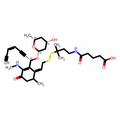 C#C/C=C\C#C[C@H](O[C@H]1C[C@@H](O)C[C@@H](C)O1)C1=C(NC)C(=O)CC(C)/C1=C/CSSC(C)(C)CCNC(=O)CCCC(=O)O